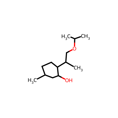 CC1CCC(C(C)COC(C)C)C(O)C1